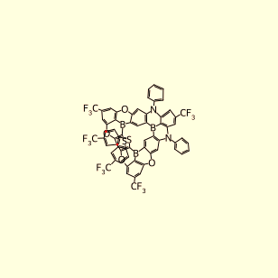 FC(F)(F)c1cc2c3c(c1)Oc1c(sc4ccc(C(F)(F)F)cc14)B3c1cc3c(cc1O2)N(c1ccccc1)c1cc(C(F)(F)F)cc2c1B3c1cc3c(cc1N2c1ccccc1)Oc1cc(C(F)(F)F)cc2c1B3c1sc3ccc(C(F)(F)F)cc3c1O2